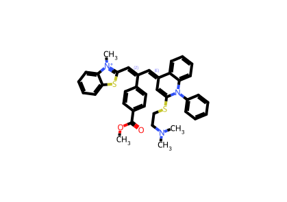 COC(=O)c1ccc(C(=C\c2sc3ccccc3[n+]2C)/C=C2\C=C(SCCN(C)C)N(c3ccccc3)c3ccccc32)cc1